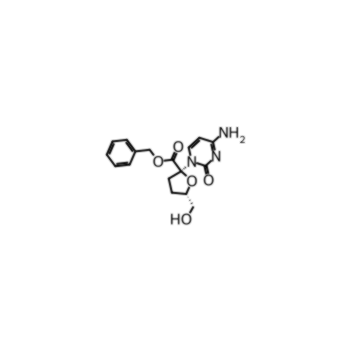 Nc1ccn([C@@]2(C(=O)OCc3ccccc3)CC[C@@H](CO)O2)c(=O)n1